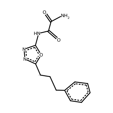 NC(=O)C(=O)Nc1nnc([CH]CCc2ccccc2)o1